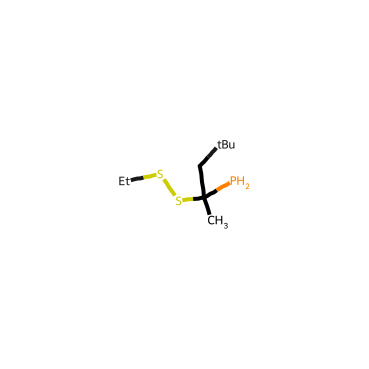 CCSSC(C)(P)CC(C)(C)C